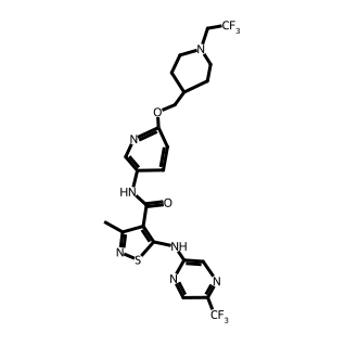 Cc1nsc(Nc2cnc(C(F)(F)F)cn2)c1C(=O)Nc1ccc(OCC2CCN(CC(F)(F)F)CC2)nc1